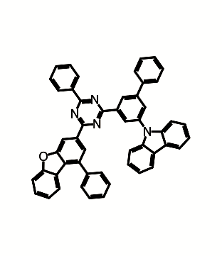 c1ccc(-c2cc(-c3nc(-c4ccccc4)nc(-c4cc(-c5ccccc5)c5c(c4)oc4ccccc45)n3)cc(-n3c4ccccc4c4ccccc43)c2)cc1